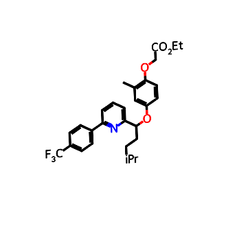 CCOC(=O)COc1ccc(OC(CCC(C)C)c2cccc(-c3ccc(C(F)(F)F)cc3)n2)cc1C